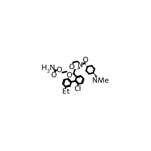 CCc1cccc(-c2c(Cl)cccc2[C@H](OCCOC(N)=O)[C@H]2CN(C(=O)[C@H]3CC[C@H](CNC)CC3)CCO2)c1